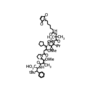 CO[C@H]([C@@H](C)C(=O)NC(C(=O)O)C(c1ccccc1)C(C)(C)C)[C@@H]1CCCN1C(=O)C[C@@H](OC)[C@H](C1CCCC1)N(C)C(=O)[C@@H](NC(=O)C(C)(C)NC(=O)CCCCCN1C(=O)C=CC1=O)C(C)C